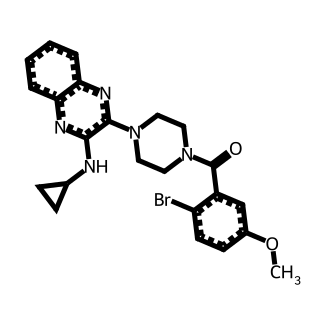 COc1ccc(Br)c(C(=O)N2CCN(c3nc4ccccc4nc3NC3CC3)CC2)c1